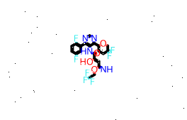 N=C(/C=C(\O)C(=O)Nc1c(-c2cc(F)ccc2F)ncnc1C1CCC(F)(F)CO1)OCC(F)(F)F